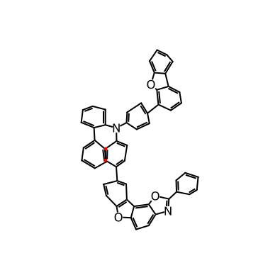 c1ccc(-c2nc3ccc4oc5ccc(-c6ccc(N(c7ccc(-c8cccc9c8oc8ccccc89)cc7)c7ccccc7-c7ccccc7)cc6)cc5c4c3o2)cc1